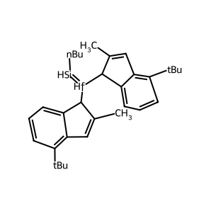 CCCC[SiH]=[Hf]([CH]1C(C)=Cc2c1cccc2C(C)(C)C)[CH]1C(C)=Cc2c1cccc2C(C)(C)C